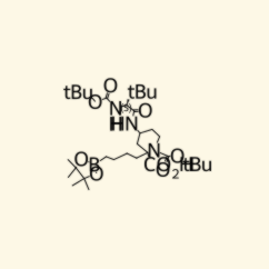 CC(C)(C)OC(=O)N[C@H](C(=O)NC1CCN(C(=O)OC(C)(C)C)C(CCCCB2OC(C)(C)C(C)(C)O2)(C(=O)O)C1)C(C)(C)C